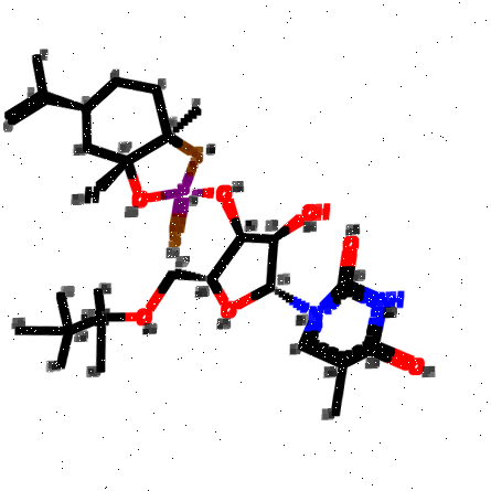 C=C(C)[C@H]1CC[C@@]2(C)S[P@](=S)(O[C@H]3[C@@H](O)[C@H](n4cc(C)c(=O)[nH]c4=O)O[C@@H]3CO[Si](C)(C)C(C)(C)C)O[C@@H]2C1